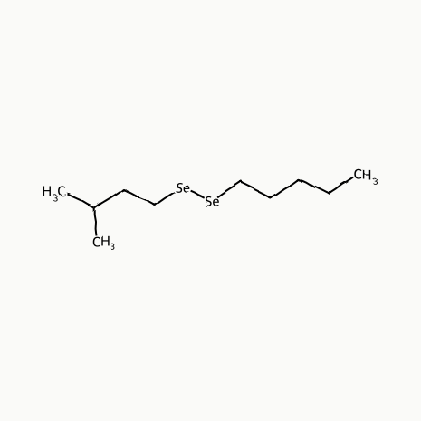 CCCCC[Se][Se]CCC(C)C